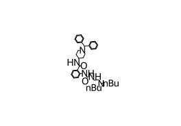 CCCCN(CCCC)CCNC(=O)Nc1ccccc1C(=O)NC1CCN(C(c2ccccc2)c2ccccc2)CC1